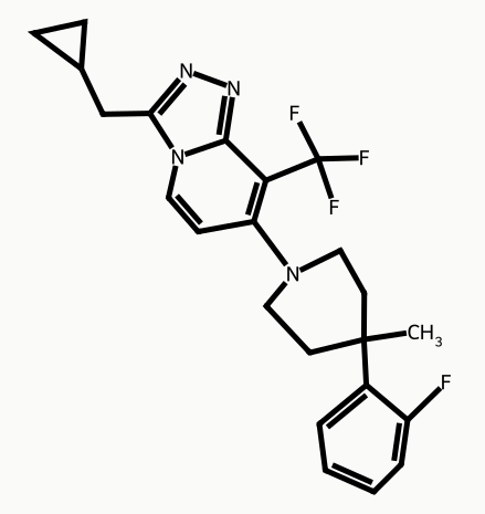 CC1(c2ccccc2F)CCN(c2ccn3c(CC4CC4)nnc3c2C(F)(F)F)CC1